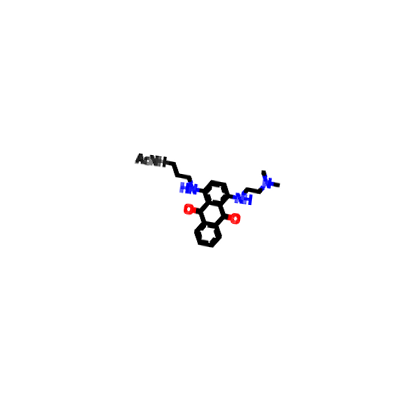 CC(=O)NCCCNc1ccc(NCCN(C)C)c2c1C(=O)c1ccccc1C2=O